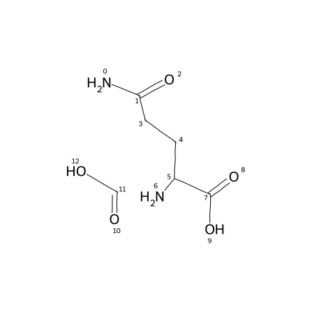 NC(=O)CCC(N)C(=O)O.O=CO